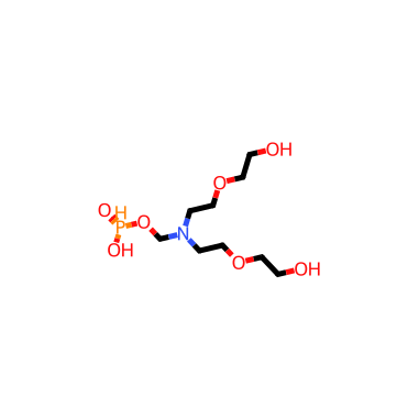 O=[PH](O)OCN(CCOCCO)CCOCCO